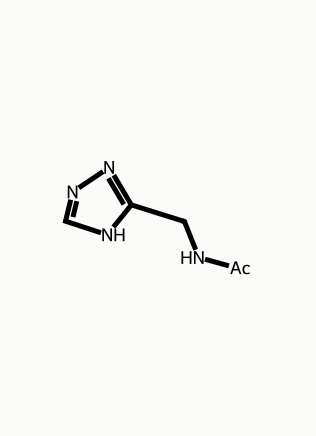 CC(=O)NCc1nnc[nH]1